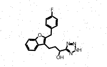 OC(CCc1c(Cc2ccc(F)cc2)oc2ccccc12)c1nn[nH]n1